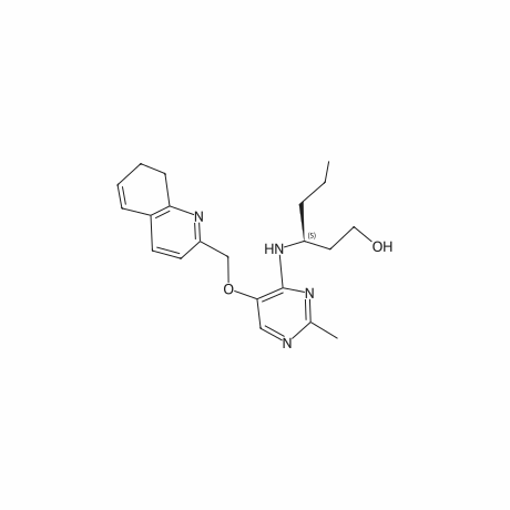 CCC[C@@H](CCO)Nc1nc(C)ncc1OCc1ccc2c(n1)CCC=C2